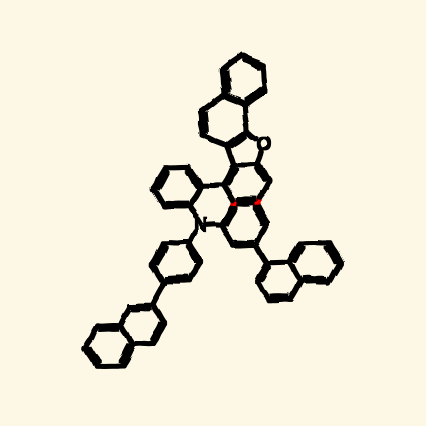 c1cc(-c2cccc3ccccc23)cc(N(c2ccc(-c3ccc4ccccc4c3)cc2)c2ccccc2-c2cccc3oc4c5ccccc5ccc4c23)c1